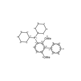 COc1ccc(P(C2CCCCC2)C2CCCCC2)c(OC)c1-c1ccccc1